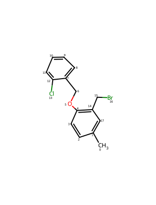 Cc1ccc(OCc2ccccc2Cl)c(CBr)c1